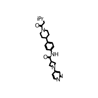 CC(C)CC(=O)N1CCC(c2ccc(NC(=O)C3CN(c4ccnnc4)C3)cc2)CC1